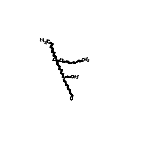 CCCCCCCCOC(CCCCCCCN(CCO)CCCCCCCC=O)OCCCCCCCC